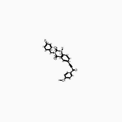 COc1ccc(C(=O)C#Cc2ccc3c(c2)c(=O)n(Cc2ccc(F)cc2)c(=O)n3C)cc1